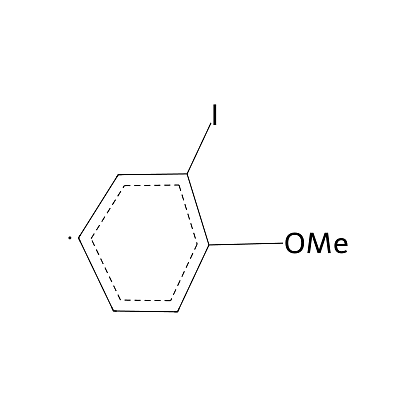 COc1cc[c]cc1I